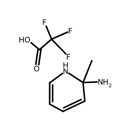 CC1(N)C=CC=CN1.O=C(O)C(F)(F)F